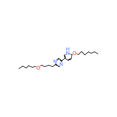 CCCCCCCOC1C=CC(c2cnc(CCCCOCCCCCC)cn2)=CN1